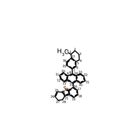 CC1CCCc2cc(-c3c4ccccc4c(-c4cccc5c6c(sc45)C=CCC6)c4ccccc34)ccc21